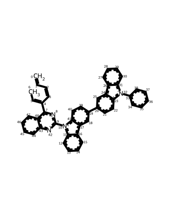 C=C/C=C\C(=C/C)c1nc(-n2c3ccccc3c3cc(-c4ccc5c(c4)c4ccccc4n5-c4ccccc4)ccc32)nc2ccccc12